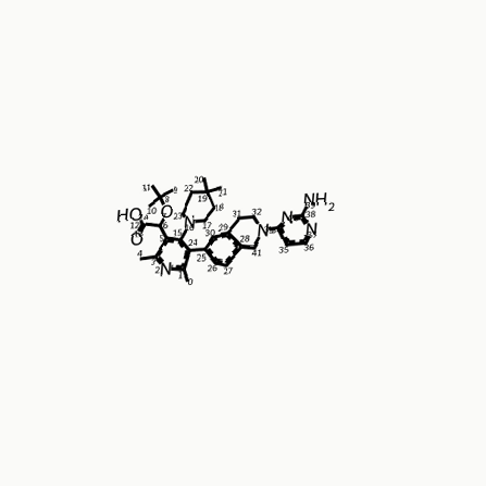 Cc1nc(C)c(C(OC(C)(C)C)C(=O)O)c(N2CCC(C)(C)CC2)c1-c1ccc2c(c1)CCN(c1ccnc(N)n1)C2